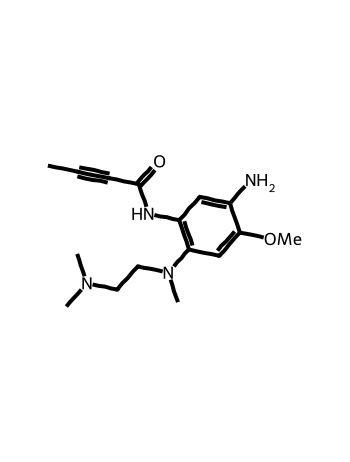 CC#CC(=O)Nc1cc(N)c(OC)cc1N(C)CCN(C)C